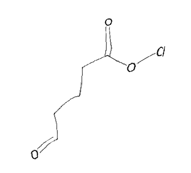 O=CCCCC(=O)OCl